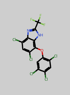 FC(F)(F)c1nc2c(Cl)cc(Cl)c(Oc3cc(Cl)c(Cl)cc3Cl)c2[nH]1